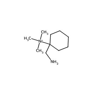 C[N+](C)(C)C1(CN)CCCCC1